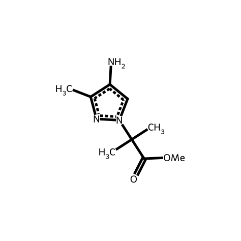 COC(=O)C(C)(C)n1cc(N)c(C)n1